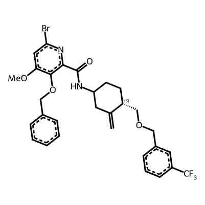 C=C1CC(NC(=O)c2nc(Br)cc(OC)c2OCc2ccccc2)CC[C@@H]1COCc1cccc(C(F)(F)F)c1